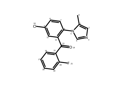 Cc1cncn1-c1ccc(Cl)cc1C(=O)c1ccccc1F